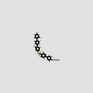 CCCCCc1ccc(-c2cc(F)c(C(F)(F)Oc3ccc(-c4ccc(-c5ccc(F)cc5)cc4)c(F)c3)c(F)c2)cc1